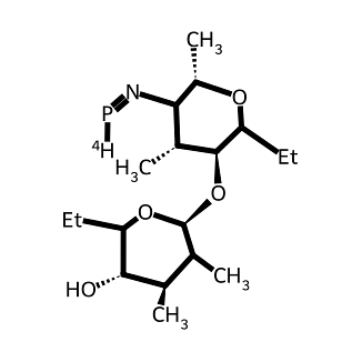 [4H]/P=N\C1[C@H](C)OC(CC)[C@@H](O[C@@H]2OC(CC)[C@@H](O)[C@H](C)C2C)[C@@H]1C